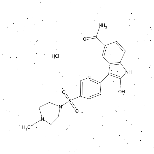 CN1CCN(S(=O)(=O)c2ccc(-c3c(O)[nH]c4ccc(C(N)=O)cc34)nc2)CC1.Cl